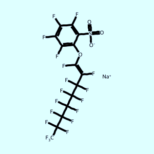 O=S(=O)([O-])c1c(F)c(F)c(F)c(F)c1OC(F)=C(F)C(F)(F)C(F)(F)C(F)(F)C(F)(F)C(F)(F)C(F)(F)F.[Na+]